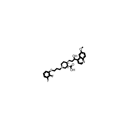 COc1ccc2nccc(C(O)CC[C@@H]3CCN(CCCSc4cccc(F)c4F)C[C@@H]3C(=O)O)c2c1